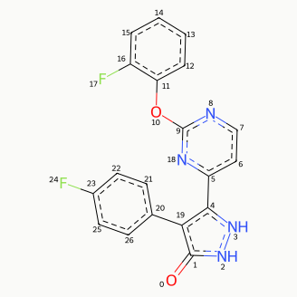 O=c1[nH][nH]c(-c2ccnc(Oc3ccccc3F)n2)c1-c1ccc(F)cc1